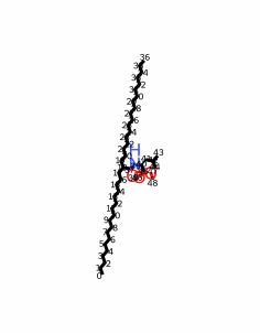 CCCCCCCCCCCCCCCCCCC(CCCCCCCCCCCCCCCCCC)C(=O)N[C@@H](CC(C)C)C(=O)OC